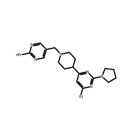 CCCc1ncc(CN2CCC(c3cc(CC)nc(N4CCCC4)n3)CC2)cn1